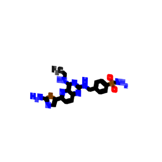 Nc1ncc(-c2ccc3nc(NCc4ccc(S(N)(=O)=O)cc4)nc(NCC(F)(F)F)c3n2)s1